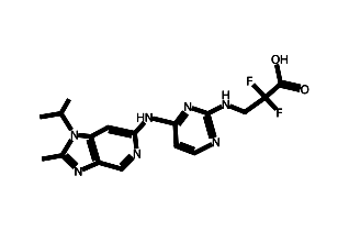 Cc1nc2cnc(Nc3ccnc(NCC(F)(F)C(=O)O)n3)cc2n1C(C)C